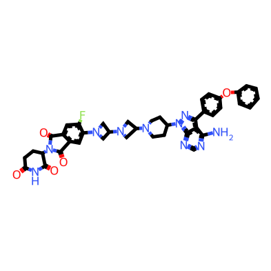 Nc1ncnc2c1c(-c1ccc(Oc3ccccc3)cc1)nn2C1CCN(C2CN(C3CN(c4cc5c(cc4F)C(=O)N(C4CCC(=O)NC4=O)C5=O)C3)C2)CC1